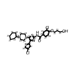 O=C(Nc1nc(-c2cc(Cl)cs2)c(N2CCN(C3CCCCC3)CC2)s1)c1ccc(OCCCO)c(Cl)c1